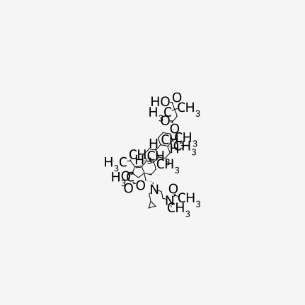 CC(=O)O[C@@H](CN(CCN(C)C(C)=O)CC1CC1)[C@@]12CC[C@]3(C)[C@H](CC[C@@H]4[C@@]5(C)CC[C@H](OC(=O)CC(C)(C)C(=O)O)C(C)(C)[C@H]5CC[C@]43C)C1=C(C(C)C)C(=O)C2